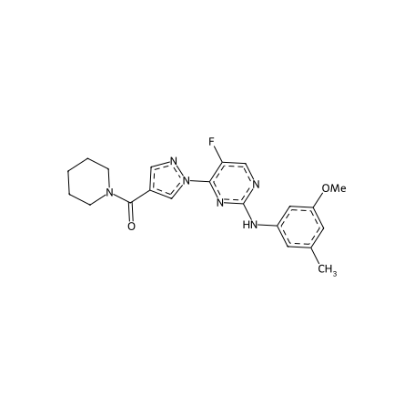 COc1cc(C)cc(Nc2ncc(F)c(-n3cc(C(=O)N4CCCCC4)cn3)n2)c1